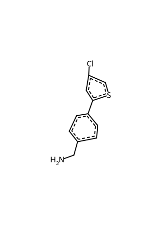 NCc1ccc(-c2cc(Cl)cs2)cc1